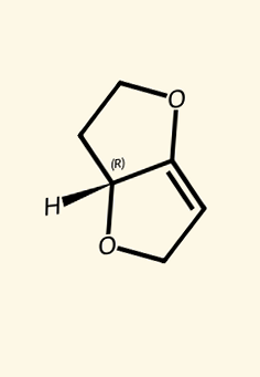 C1=C2OCC[C@H]2OC1